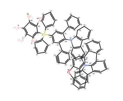 Bc1c(B)c(B)c(S(c2ccccc2)(c2ccccc2)c2cc(-c3c#cccc3)c(-n3c4c(c5cc(-n6c7ccccc7c7cccc(-c8ccccc8-c8ccc9oc%10ccccc%10c9c8)c76)ccc53)C=CCC4)c(-c3ccccc3)c2)c(B)c1B